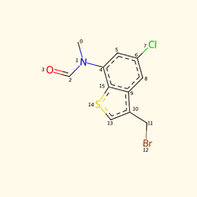 CN(C=O)c1cc(Cl)cc2c(CBr)csc12